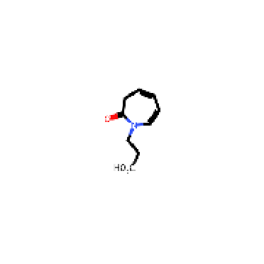 O=C(O)CCN1C=CC=CCC1=O